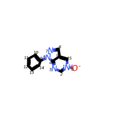 [O-][n+]1cnc2c(cnn2-c2ccccc2)c1